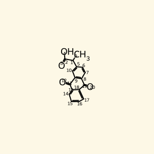 CC(C(=O)O)c1ccc2c(c1)C(=O)c1ccccc1C2=O